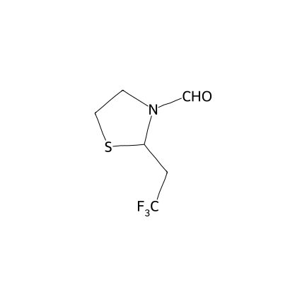 O=CN1CCSC1CC(F)(F)F